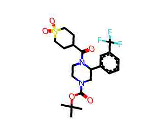 CC(C)(C)OC(=O)N1CCN(C(=O)C2CCS(=O)(=O)CC2)C(c2cccc(C(F)(F)F)c2)C1